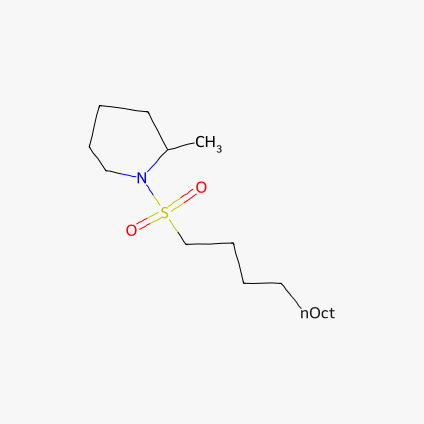 CCCCCCCCCCCCS(=O)(=O)N1CCCCC1C